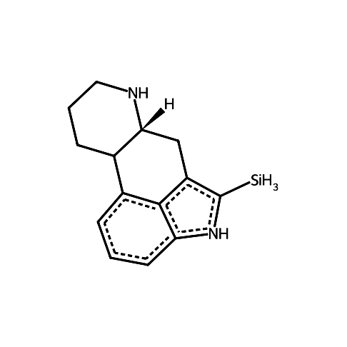 [SiH3]c1[nH]c2cccc3c2c1C[C@H]1NCCCC31